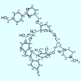 Cc1c2ccc(c1Cl)O[C@H](CN1CCN(C)CC1)CCOc1ccc(OCc3ccnc(-c4ccc(CO)cc4)n3)c(c1)C[C@H](C(=O)O)Oc1ncnc3sc(-c4ccc(F)cc4)c-2c13